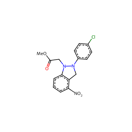 COC(=O)CN1c2cccc([N+](=O)[O-])c2CN1c1ccc(Cl)cc1